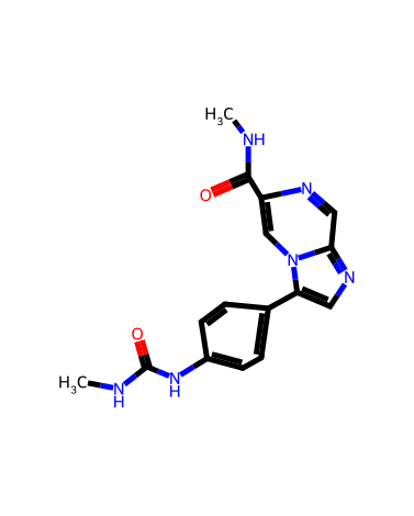 CNC(=O)Nc1ccc(-c2cnc3cnc(C(=O)NC)cn23)cc1